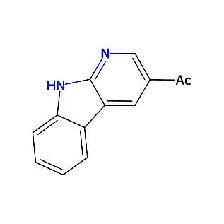 CC(=O)c1cnc2[nH]c3ccccc3c2c1